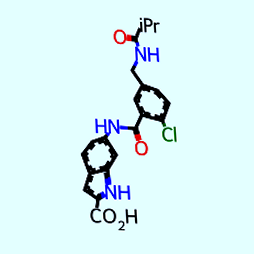 CC(C)C(=O)NCc1ccc(Cl)c(C(=O)Nc2ccc3cc(C(=O)O)[nH]c3c2)c1